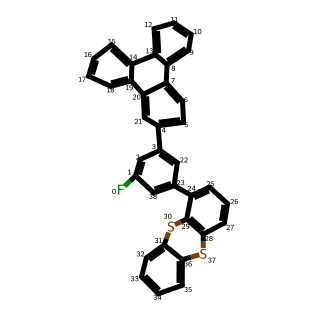 Fc1cc(-c2ccc3c4ccccc4c4ccccc4c3c2)cc(-c2cccc3c2Sc2ccccc2S3)c1